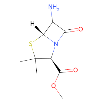 COC(=O)[C@@H]1N2C(=O)C(N)[C@H]2SC1(C)C